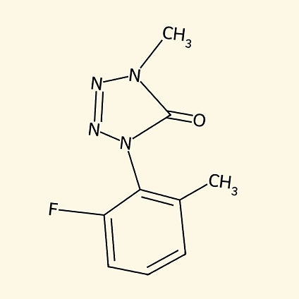 Cc1cccc(F)c1-n1nnn(C)c1=O